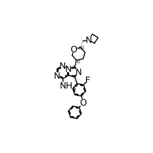 Nc1ncnn2c([C@@H]3CC[C@@H](CN4CCC4)OC3)nc(-c3ccc(Oc4ccccc4)cc3F)c12